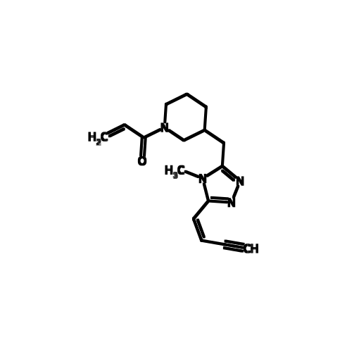 C#C/C=C\c1nnc(CC2CCCN(C(=O)C=C)C2)n1C